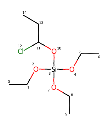 CCO[Si](OCC)(OCC)OC(Cl)CC